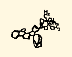 CC1(C)OB(c2ccc3c(c2)C2(c4ccc5c(oc6ccccc65)c4-3)C3CC4CC(C3)CC2C4)OC1(C)C